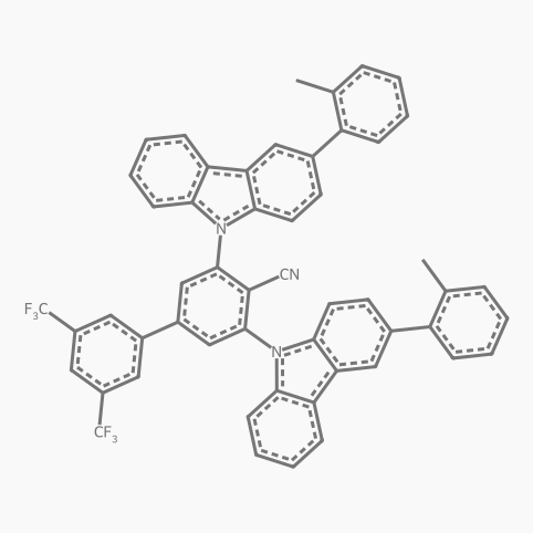 Cc1ccccc1-c1ccc2c(c1)c1ccccc1n2-c1cc(-c2cc(C(F)(F)F)cc(C(F)(F)F)c2)cc(-n2c3ccccc3c3cc(-c4ccccc4C)ccc32)c1C#N